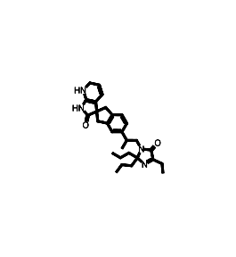 CCCC1(CCC)N=C(CC)C(=O)N1CC(C)c1ccc2c(c1)CC1(C2)C(=O)NC2=C1C=CCN2